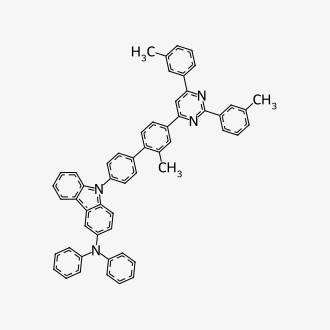 Cc1cccc(-c2cc(-c3ccc(-c4ccc(-n5c6ccccc6c6cc(N(c7ccccc7)c7ccccc7)ccc65)cc4)c(C)c3)nc(-c3cccc(C)c3)n2)c1